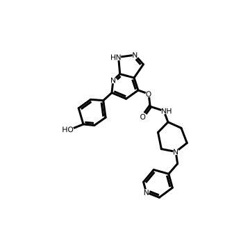 O=C(NC1CCN(Cc2ccncc2)CC1)Oc1cc(-c2ccc(O)cc2)nc2[nH]ncc12